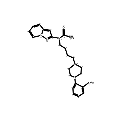 CSc1ccccc1N1CCN(CCCCN(C(N)=O)c2cc3ccccn3n2)CC1